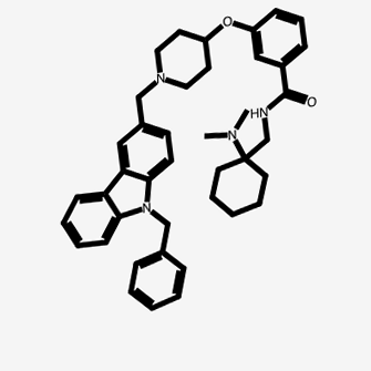 CN(C)C1(CNC(=O)c2cccc(OC3CCN(Cc4ccc5c(c4)c4ccccc4n5Cc4ccccc4)CC3)c2)CCCCC1